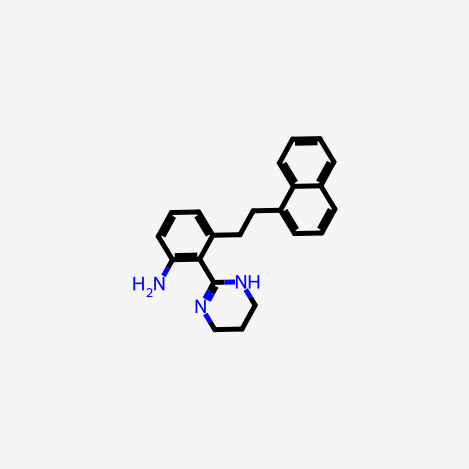 Nc1cccc(CCc2cccc3ccccc23)c1C1=NCCCN1